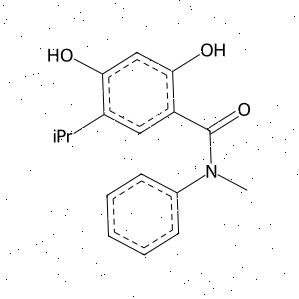 CC(C)c1cc(C(=O)N(C)c2ccccc2)c(O)cc1O